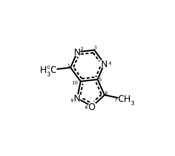 Cc1ncnc2c(C)onc12